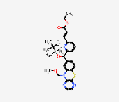 CCOC(=O)C=Cc1cccc(C(O[Si](C)(C)C(C)(C)C)c2ccc3c(c2)N(COC)c2nccnc2S3)n1